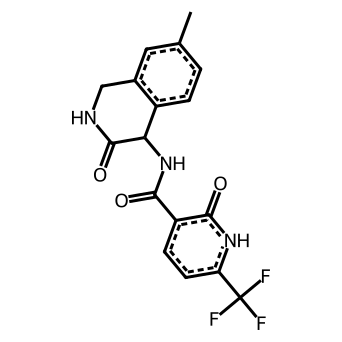 Cc1ccc2c(c1)CNC(=O)C2NC(=O)c1ccc(C(F)(F)F)[nH]c1=O